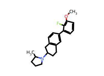 COc1cccc(-c2ccc3c(c2)CCC(N2CCCC2C)C3)c1F